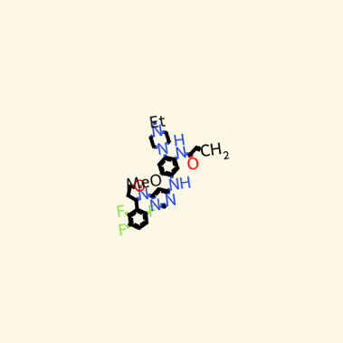 C=CC(=O)Nc1cc(Nc2cc(N3OCCC3c3c(F)ccc(F)c3F)ncn2)c(OC)cc1N1CCN(CC)CC1